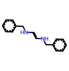 C(=C\NCc1ccccc1)/NCc1ccccc1